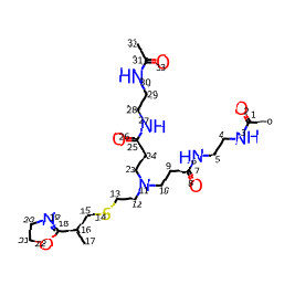 CC(=O)NCCNC(=O)CCN(CCSCC(C)C1=NCCO1)CCC(=O)NCCNC(C)=O